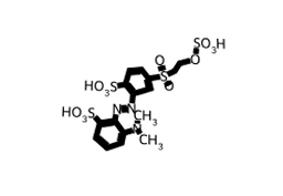 CN(C)c1cccc(S(=O)(=O)O)c1/N=N/c1cc(S(=O)(=O)CCOS(=O)(=O)O)ccc1S(=O)(=O)O